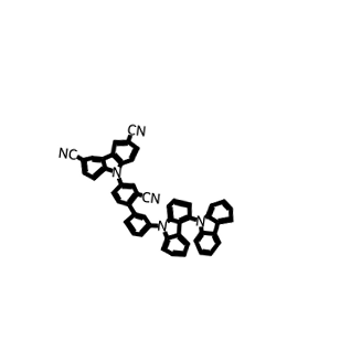 N#Cc1ccc2c(c1)c1cc(C#N)ccc1n2-c1ccc(-c2cccc(-n3c4ccccc4c4c(-n5c6ccccc6c6ccccc65)cccc43)c2)c(C#N)c1